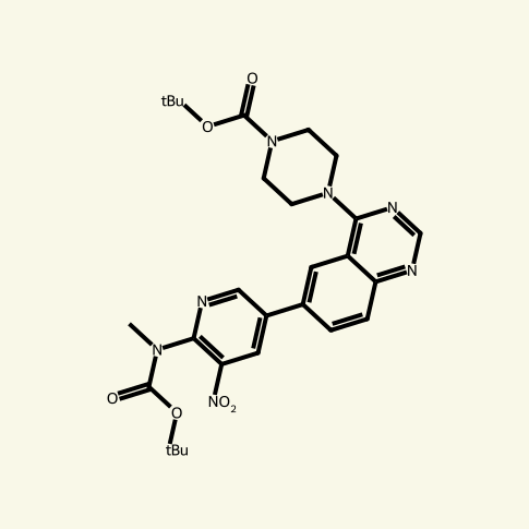 CN(C(=O)OC(C)(C)C)c1ncc(-c2ccc3ncnc(N4CCN(C(=O)OC(C)(C)C)CC4)c3c2)cc1[N+](=O)[O-]